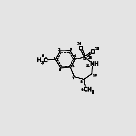 Cc1ccc2c(c1)CC(C)CNS2(=O)=O